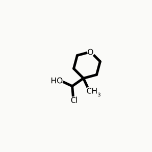 CC1(C(O)Cl)CCOCC1